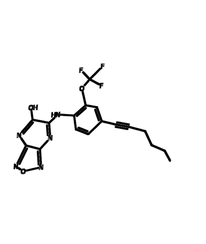 CCCCC#Cc1ccc(Nc2nc3nonc3nc2O)c(OC(F)(F)F)c1